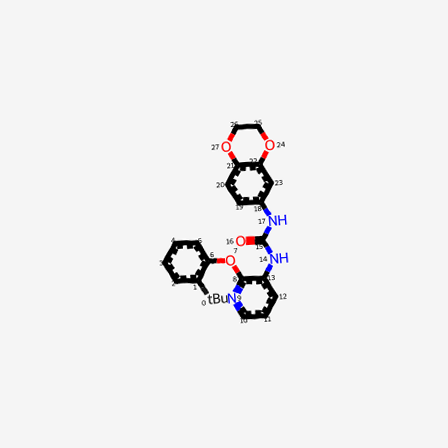 CC(C)(C)c1ccccc1Oc1ncccc1NC(=O)Nc1ccc2c(c1)OCCO2